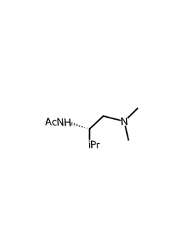 CC(=O)N[C@H](CN(C)C)C(C)C